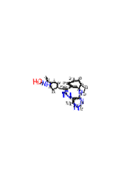 C=C(NO)c1ccc(C2=Nc3cncnc3N3CCc4cccc2c43)cc1